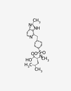 Cc1nc2ccnc(Cc3ccc(S(=O)(=O)N(C)[C@@H](CC(C)C)C(=O)O)cc3)c2[nH]1